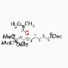 C=C(C)COC(CCCCCCCCCCCCCCC)CC[Si](OC)(OC)OC